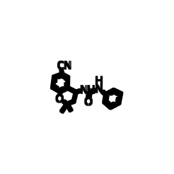 CC1(C)CC(NC(=O)Nc2ccccc2)c2cc(C#N)ccc2O1